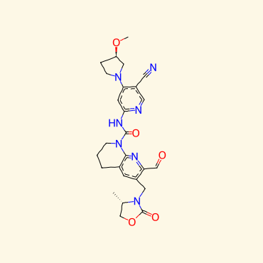 CO[C@@H]1CCN(c2cc(NC(=O)N3CCCc4cc(CN5C(=O)OC[C@@H]5C)c(C=O)nc43)ncc2C#N)C1